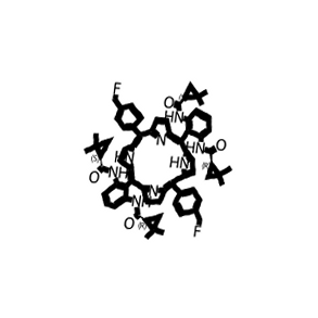 CC1(C)C[C@@H]1C(=O)Nc1cccc(NC(=O)[C@@H]2CC2(C)C)c1-c1c2nc(c(-c3ccc(CF)cc3)c3ccc([nH]3)c(-c3c(NC(=O)[C@H]4CC4(C)C)cccc3NC(=O)[C@@H]3CC3(C)C)c3nc(c(-c4ccc(CF)cc4)c4ccc1[nH]4)CC3)C=C2